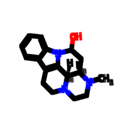 CN1CCN2CCc3c4n(c5ccccc35)C(O)C[C@@H]1[C@H]42